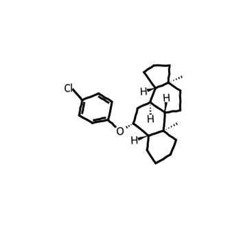 C[C@@]12CCC[C@H]1[C@@H]1C[C@@H](Oc3ccc(Cl)cc3)[C@H]3CCCC[C@]3(C)[C@H]1CC2